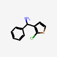 NC(c1ccccc1)c1ccsc1Cl